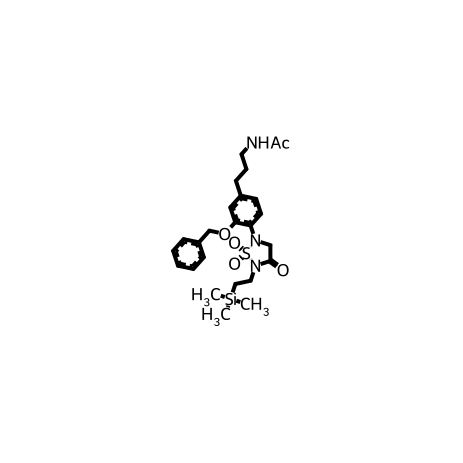 CC(=O)NCCCc1ccc(N2CC(=O)N(CC[Si](C)(C)C)S2(=O)=O)c(OCc2ccccc2)c1